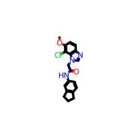 COc1ccc2ncn(CC(=O)Nc3ccc4c(c3)CCC4)c2c1Cl